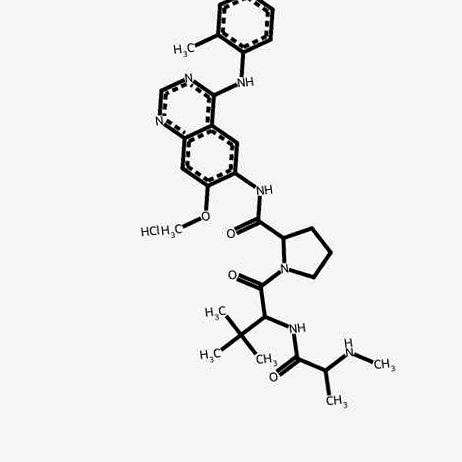 CNC(C)C(=O)NC(C(=O)N1CCCC1C(=O)Nc1cc2c(Nc3ccccc3C)ncnc2cc1OC)C(C)(C)C.Cl